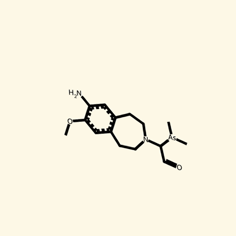 COc1cc2c(cc1N)CCN(C(C=O)[As](C)C)CC2